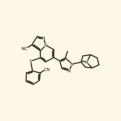 Cc1c(-c2cc(Sc3ccccc3C#N)c3c(C#N)cnn3c2)cnn1C1CC2CCC(C1)N2C